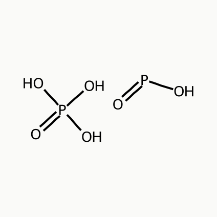 O=P(O)(O)O.O=PO